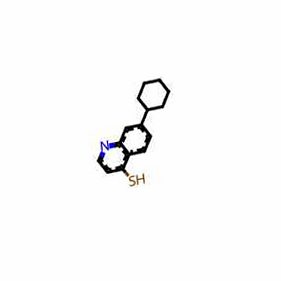 Sc1ccnc2cc(C3CCCCC3)ccc12